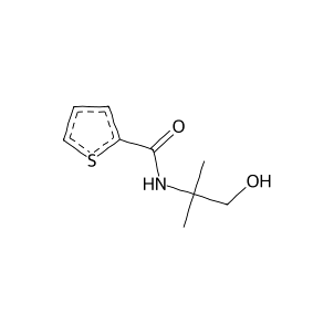 CC(C)(CO)NC(=O)c1cccs1